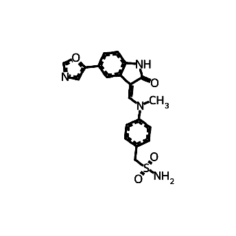 CN(C=C1C(=O)Nc2ccc(-c3cnco3)cc21)c1ccc(CS(N)(=O)=O)cc1